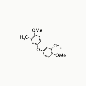 COc1ccc(Oc2ccc(OC)c(C)c2)cc1C